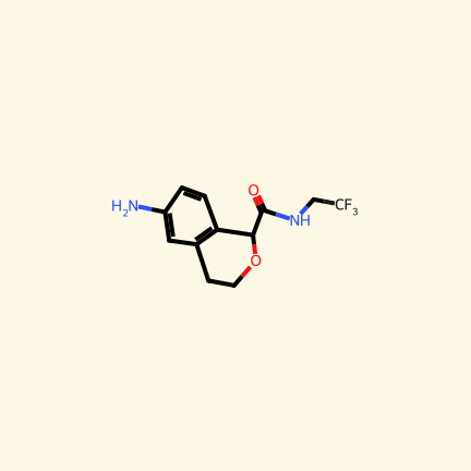 Nc1ccc2c(c1)CCOC2C(=O)NCC(F)(F)F